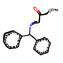 COC(=O)/C=N/C(c1ccccc1)c1ccccc1